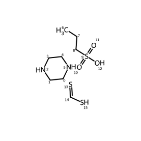 C1CNCCN1.CCCS(=O)(=O)O.S=CS